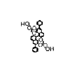 O=C(COc1ccc2cc(-c3ccccc3)ccc2c1-c1c(OCC(=O)OCO)ccc2cc(-c3ccccc3)ccc12)OCO